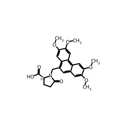 COc1cc2cc(CN3C(=O)CC[C@H]3C(=O)O)c3cc(OC)c(OC)cc3c2cc1OC